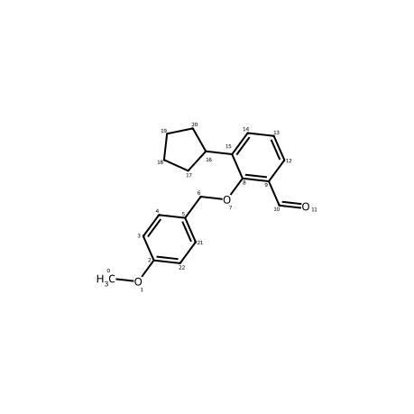 COc1ccc(COc2c(C=O)cccc2C2CCCC2)cc1